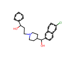 OC(CCN1CCC(C(O)c2ccc3cc(Cl)ccc3c2)CC1)c1ccccc1